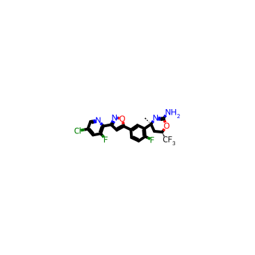 C[C@@]1(c2cc(-c3cc(-c4ncc(Cl)cc4F)no3)ccc2F)C[C@@H](C(F)(F)F)OC(N)=N1